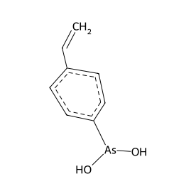 C=Cc1ccc([As](O)O)cc1